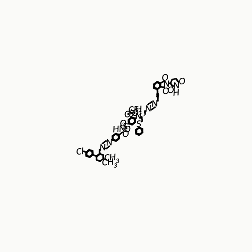 CC1(C)CCC(c2ccc(Cl)cc2)=C(CN2CCN(c3ccc(C(=O)NS(=O)(=O)c4ccc(N[C@H](CCN5CCN(CC#Cc6cccc7c6C(=O)N(C6CCC(=O)NC6=O)C7=O)CC5)CSc5ccccc5)c(S(=O)(=O)C(F)(F)F)c4)cc3)CC2)C1